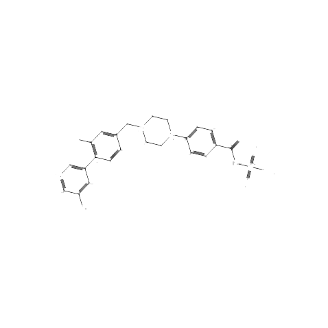 Cc1cc(CN2CCN(c3ccc(C(=O)NS(C)(=O)=O)cc3)CC2)ccc1-c1cncc(O)c1